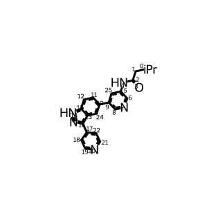 CC(C)CC(=O)Nc1cncc(-c2ccc3[nH]nc(-c4ccncc4)c3c2)c1